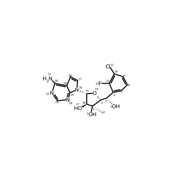 C[C@@]1(O)[C@@H]([C@@H](O)c2cccc(Cl)c2F)O[C@@H](n2ccc3c(N)ncnc32)[C@@H]1O